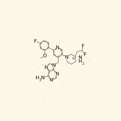 COc1cc(F)ccc1-c1cc(Cn2cnc3c(N)ncnc32)c(N2CCC[C@](N)(CC(F)F)C2)cn1